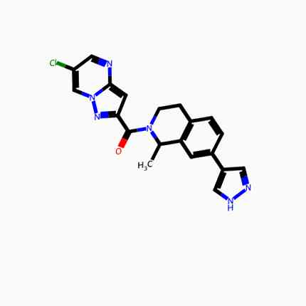 CC1c2cc(-c3cn[nH]c3)ccc2CCN1C(=O)c1cc2ncc(Cl)cn2n1